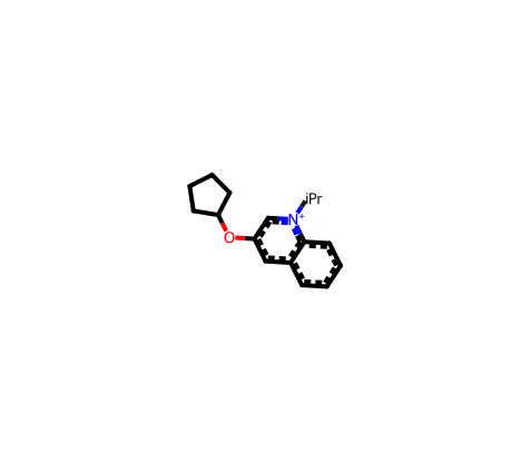 CC(C)[n+]1cc(OC2CCCC2)cc2ccccc21